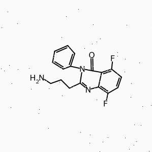 NCCCc1nc2c(F)ccc(F)c2c(=O)n1-c1ccccc1